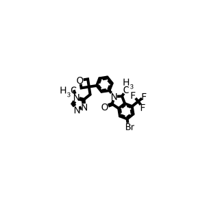 CC1c2c(cc(Br)cc2C(F)(F)F)C(=O)N1c1cccc(C2(Cc3nncn3C)COC2)c1